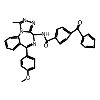 COc1ccc(C2=NC(NC(=O)c3ccc(C(=O)c4ccccc4)cc3)c3nnc(C)n3-c3ccccc32)cc1